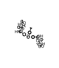 COC(=O)N[C@H](C(=O)N1CCC[C@H]1c1nc(-c2ccc([C@@H]3CC[C@@H](C4=CCC(c5c[nH]c([C@@H]6CCCN6C(=O)[C@@H](NC(=O)OC)C(C)C)n5)C=C4)N3c3ccc(C4CC4)cc3)cc2)c[nH]1)C(C)C